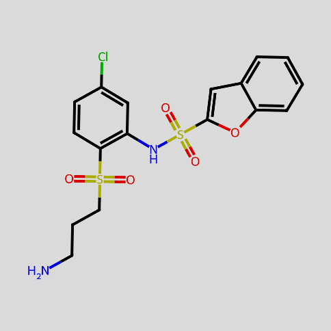 NCCCS(=O)(=O)c1ccc(Cl)cc1NS(=O)(=O)c1cc2ccccc2o1